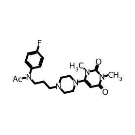 CC(=O)N(CCCN1CCN(c2cc(=O)n(C)c(=O)n2C)CC1)c1ccc(F)cc1